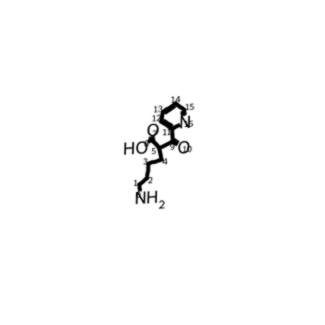 NCCCCC(C(=O)O)C(=O)c1ccccn1